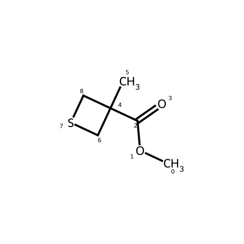 COC(=O)C1(C)CSC1